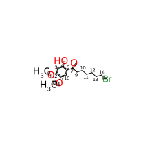 COc1cc(O)c(C(=O)CCCCCCBr)cc1OC